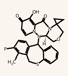 Cc1c(F)ccc2c1CSc1ccccc1C2N1[C@@H]2COCC3(CC3)N2C(=O)c2c(O)c(=O)ccn21